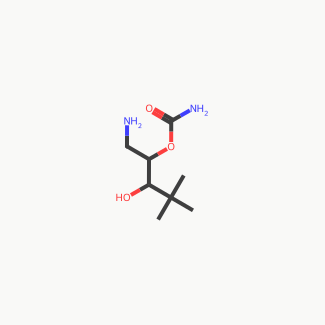 CC(C)(C)C(O)C(CN)OC(N)=O